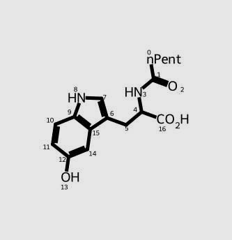 CCCCCC(=O)NC(Cc1c[nH]c2ccc(O)cc12)C(=O)O